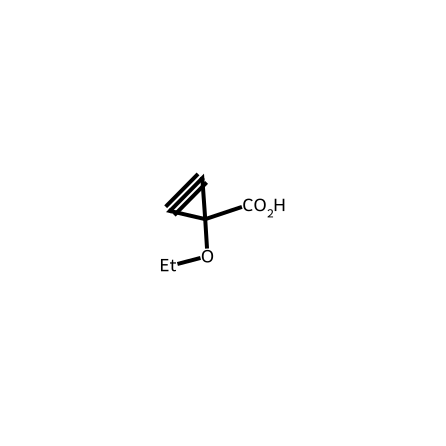 CCOC1(C(=O)O)C#C1